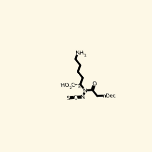 CCCCCCCCCCCC(=O)N(N=C=S)[C@@H](CCCCN)C(=O)O